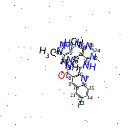 Cc1cc(CNC(=O)c2cc3cc(F)ccc3nc2C(C)Nc2ncnc(N)c2C#N)n(C)n1